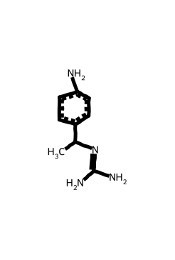 CC(N=C(N)N)c1ccc(N)cc1